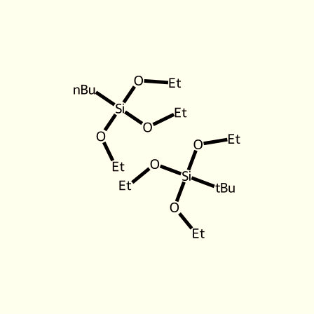 CCCC[Si](OCC)(OCC)OCC.CCO[Si](OCC)(OCC)C(C)(C)C